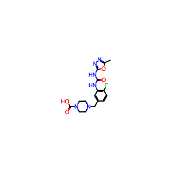 Cc1nnc(NC(=O)Nc2cc(CN3CCN(C(=O)O)CC3)ccc2F)o1